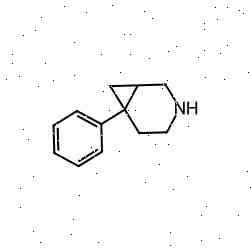 c1ccc(C23CCNCC2C3)cc1